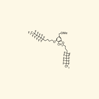 COCc1cc(OCCCCC(F)(F)C(F)(F)C(F)(F)C(F)(F)C(F)(F)C(F)(F)F)c(C)c(OCCCCC(F)(F)C(F)(F)C(F)(F)C(F)(F)C(F)(F)C(F)(F)F)c1